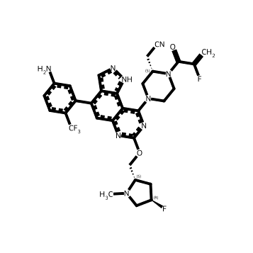 C=C(F)C(=O)N1CCN(c2nc(OC[C@@H]3C[C@@H](F)CN3C)nc3cc(-c4cc(N)ccc4C(F)(F)F)c4cn[nH]c4c23)C[C@@H]1CC#N